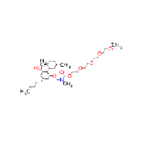 CCCCCc1cc(O)c(C2C=C(C)CCC2C)c(OCN(C)C(=O)OCCOCCOCCOCCOC)c1